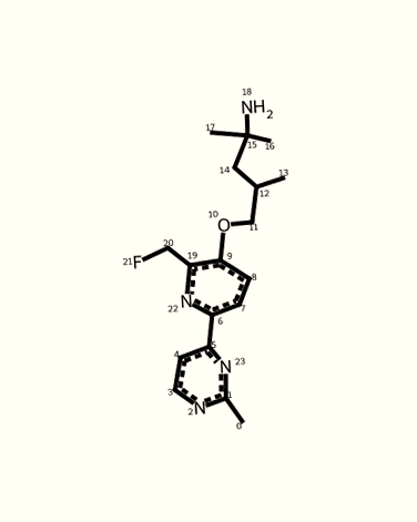 Cc1nccc(-c2ccc(OCC(C)CC(C)(C)N)c(CF)n2)n1